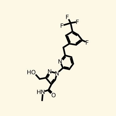 CNC(=O)c1cn(-c2cccc(Cc3cc(F)cc(C(F)(F)F)c3)n2)nc1CO